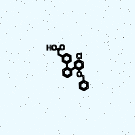 O=C(O)Cc1cccc(-c2ccccc2-c2cc(Cl)ccc2OCc2ccccc2)c1